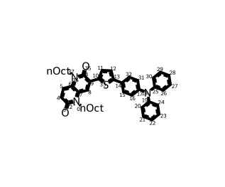 CCCCCCCCn1c(=O)ccc2c1cc(-c1ccc(-c3ccc(N(c4ccccc4)c4ccccc4)cc3)s1)c(=O)n2CCCCCCCC